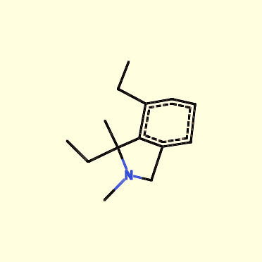 CCc1cccc2c1C(C)(CC)N(C)C2